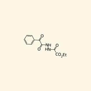 CCOC(=O)C(=O)NNC(=O)C(=O)c1ccccc1